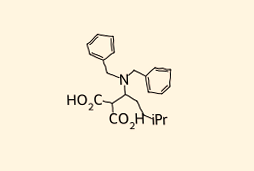 CC(C)CCC(C(C(=O)O)C(=O)O)N(Cc1ccccc1)Cc1ccccc1